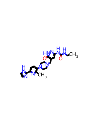 CCNC(=O)Nc1cc(CN2CCN(c3ccc(-c4ncc[nH]4)nc3C)CC2)c(=O)[nH]n1